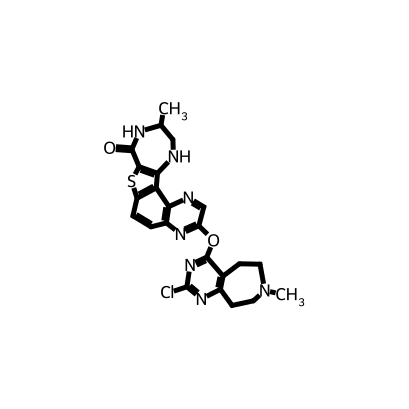 CC1CNc2c(sc3ccc4nc(Oc5nc(Cl)nc6c5CCN(C)CC6)cnc4c23)C(=O)N1